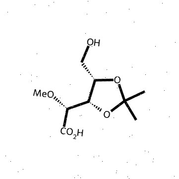 CO[C@@H](C(=O)O)[C@H]1OC(C)(C)O[C@H]1CO